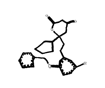 CCc1ccc(OCc2ccccc2)c(CCC2(C3CCCC3)CC(=O)CC(=O)O2)c1